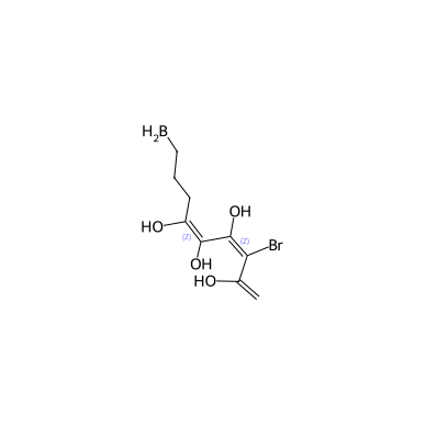 BCCC/C(O)=C(O)\C(O)=C(\Br)C(=C)O